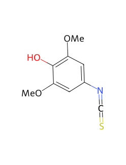 COc1cc(N=C=S)cc(OC)c1O